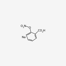 O=C(O)c1ccccc1O[N+](=O)[O-].[Na]